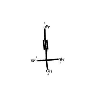 [CH2]CCC#CC(O)(CCC)CCC